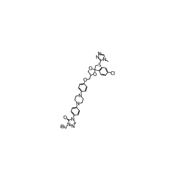 CCC(C)n1ncn(-c2ccc(N3CCN(c4ccc(OCC5COC(CSc6nncn6C)(c6ccc(Cl)cc6)O5)cc4)CC3)cc2)c1=O